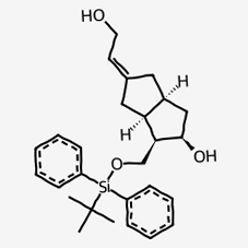 CC(C)(C)[Si](OC[C@H]1[C@H]2C/C(=C/CO)C[C@H]2C[C@H]1O)(c1ccccc1)c1ccccc1